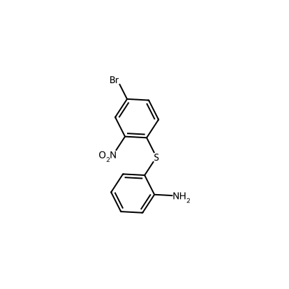 Nc1ccccc1Sc1ccc(Br)cc1[N+](=O)[O-]